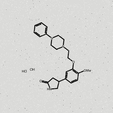 COc1ccc(C2CNC(=O)C2)cc1OCCN1CCN(c2ccccc2)CC1.Cl.Cl